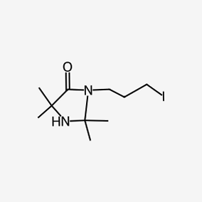 CC1(C)NC(C)(C)N(CCCI)C1=O